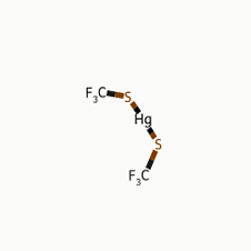 FC(F)(F)[S][Hg][S]C(F)(F)F